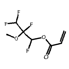 C=CC(=O)OC(F)C(F)(OC)C(F)F